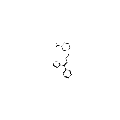 Cn1ccc(C(=CCCN2CCCC(C(=O)O)C2)c2ccccc2)n1